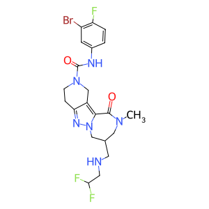 CN1CC(CNCC(F)F)Cn2nc3c(c2C1=O)CN(C(=O)Nc1ccc(F)c(Br)c1)CC3